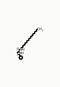 CCCCCCCCCCCCCCCCCCNC(=O)[C@H]1CSC(C2CCCCC2)N1